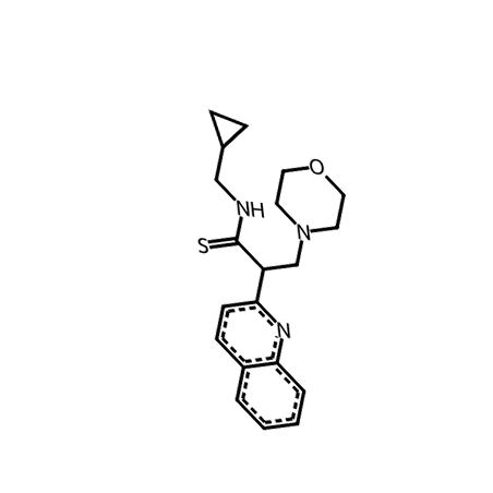 S=C(NCC1CC1)C(CN1CCOCC1)c1ccc2ccccc2n1